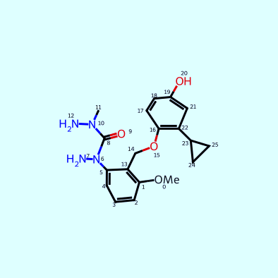 COc1cccc(N(N)C(=O)N(C)N)c1COc1ccc(O)cc1C1CC1